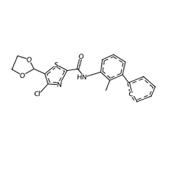 Cc1c(NC(=O)c2nc(Cl)c(C3OCCO3)s2)cccc1-c1ccccc1